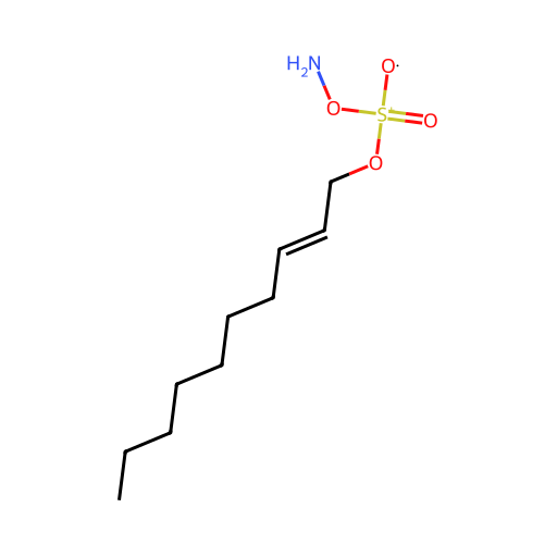 CCCCCCC/C=C/CO[S+]([O])(=O)ON